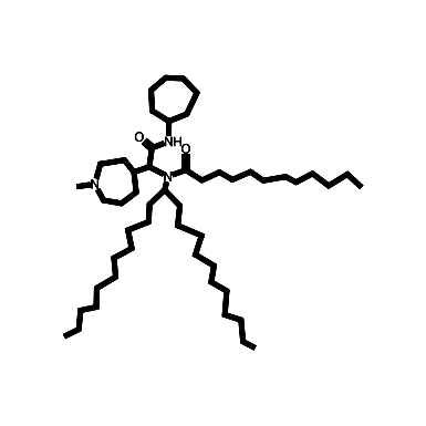 CCCCCCCCCCCC(=O)N(C(CCCCCCCCCCC)CCCCCCCCCCC)C(C(=O)NC1CCCCCC1)C1CCCN(C)CC1